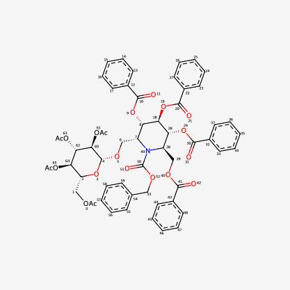 CC(=O)OC[C@H]1O[C@@H](OC[C@@H]2[C@H](OC(=O)c3ccccc3)[C@@H](OC(=O)c3ccccc3)[C@H](OC(=O)c3ccccc3)[C@@H](COC(=O)c3ccccc3)N2C(=O)OCc2ccccc2)[C@H](OC(C)=O)[C@@H](OC(C)=O)[C@@H]1OC(C)=O